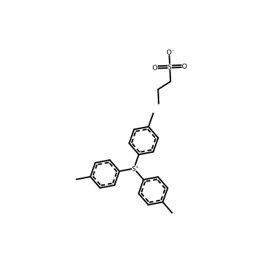 CCCS(=O)(=O)[O-].Cc1ccc([S+](c2ccc(C)cc2)c2ccc(C)cc2)cc1